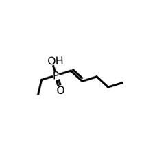 CCCC=CP(=O)(O)CC